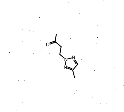 [CH2]c1cnn(CCC(C)=O)n1